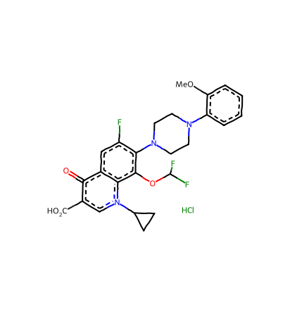 COc1ccccc1N1CCN(c2c(F)cc3c(=O)c(C(=O)O)cn(C4CC4)c3c2OC(F)F)CC1.Cl